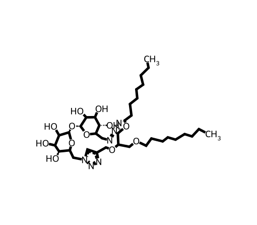 CCCCCCCCCOCC(COCCCCCCCCC)OCc1cn(CC2O[C@H](O[C@H]3OC(CN=[N+]=[N-])[C@@H](O)C(O)C3O)C(O)C(O)[C@@H]2O)nn1